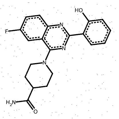 NC(=O)C1CCN(c2nc(-c3ccccc3O)nc3ccc(F)cc23)CC1